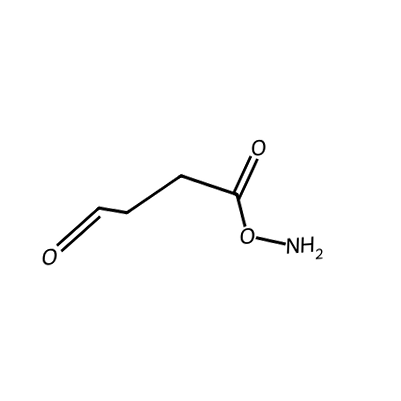 NOC(=O)CCC=O